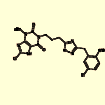 CCCCn1c(=O)n(CCCc2nc(Cc3cc(Cl)ccc3OC)no2)c(=O)c2[nH]c(Cl)nc21